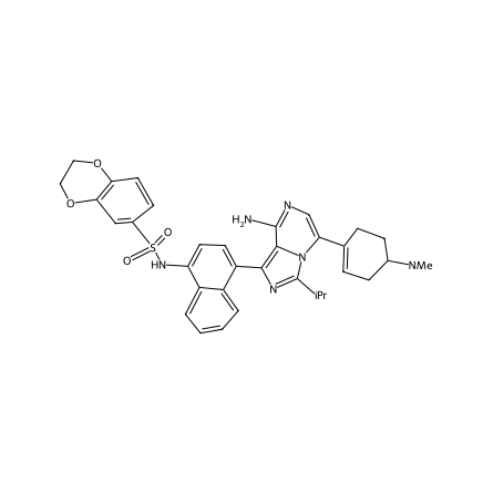 CNC1CC=C(c2cnc(N)c3c(-c4ccc(NS(=O)(=O)c5ccc6c(c5)OCCO6)c5ccccc45)nc(C(C)C)n23)CC1